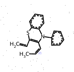 C=CC1=C(/C=C\C)N(c2ccccc2)c2ccccc2S1